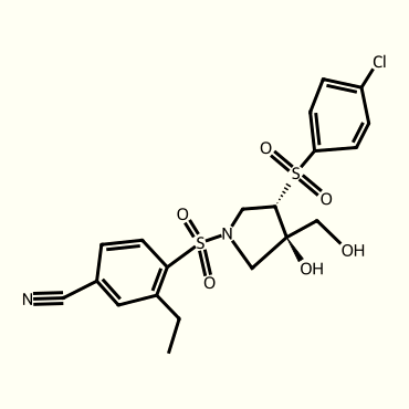 CCc1cc(C#N)ccc1S(=O)(=O)N1C[C@H](S(=O)(=O)c2ccc(Cl)cc2)[C@](O)(CO)C1